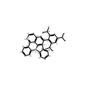 CC(C)c1cc(C(C)C)c(-c2cc3ccnc4c5ccccc5n5c6ccccc6c2c5c34)c(C(C)C)c1